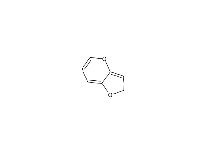 [C]1=C2OC=CC=C2OC1